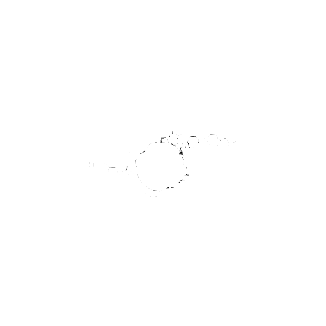 CO[C@H]1/C=C/C[C@@]2(C)Oc3c(C)c(O)c4c(=O)c(c5oc6cc(N7CCN(CC(C)C)CC7)ccc6nc-5c4c3C2=O)NC(=O)/C(C)=C\C=C\[C@H](C)[C@H](O)[C@@H](C)[C@@H](O)[C@@H](C)[C@H](OC(=O)OCC(O)CO)[C@@H]1C